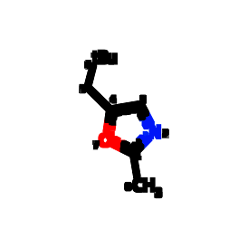 Cc1ncc(CC(C)(C)C)o1